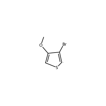 COc1cs[c]c1Br